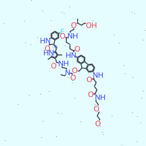 CCN(CCNC(=O)c1c(C)[nH]c(/C=C2\C(=O)Nc3ccc(F)cc32)c1C)C(=O)OCC1c2cc(NC(=O)CCCC(=O)NCCOCCCOC)ccc2-c2ccc(NC(=O)CCCC(=O)NCCOC(C)CCO)cc21